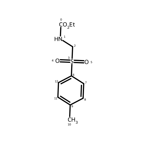 CCOC(=O)NCS(=O)(=O)c1ccc(C)cc1